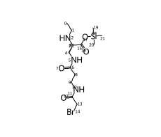 CCN[C@H](CNC(=O)CCNC(=O)CBr)C(=O)O[Si](C)(C)C